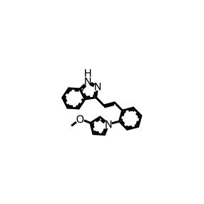 COc1ccn(-c2ccccc2C=Cc2n[nH]c3ccccc23)c1